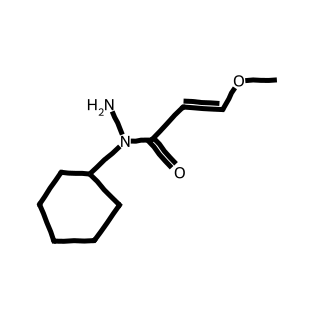 CO/C=C/C(=O)N(N)C1CCCCC1